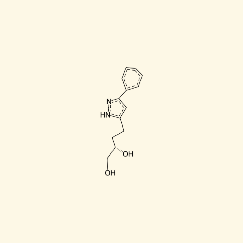 OC[C@@H](O)CCc1cc(-c2ccccc2)n[nH]1